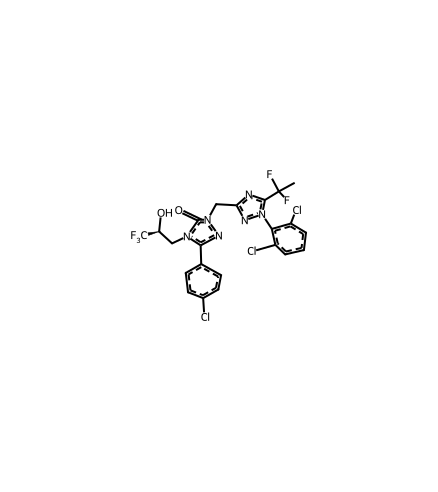 CC(F)(F)c1nc(Cn2nc(-c3ccc(Cl)cc3)n(C[C@H](O)C(F)(F)F)c2=O)nn1-c1c(Cl)cccc1Cl